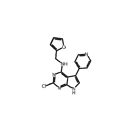 Clc1nc(NCc2ccco2)c2c(-c3ccncc3)c[nH]c2n1